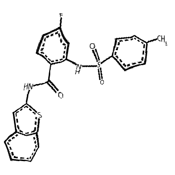 Cc1ccc(S(=O)(=O)Nc2cc(F)ccc2C(=O)Nc2cc3ccccc3s2)cc1